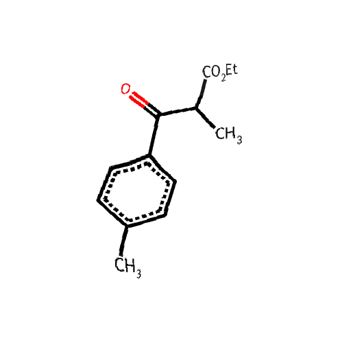 CCOC(=O)C(C)C(=O)c1ccc(C)cc1